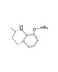 CCCCOc1cccc2c1NC(C)CC2